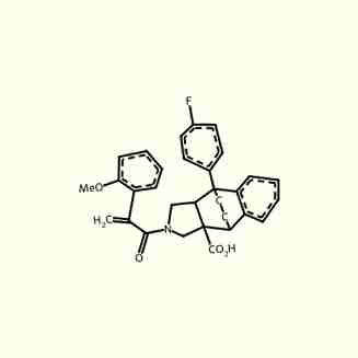 C=C(C(=O)N1CC2C3(c4ccc(F)cc4)CCC(c4ccccc43)C2(C(=O)O)C1)c1ccccc1OC